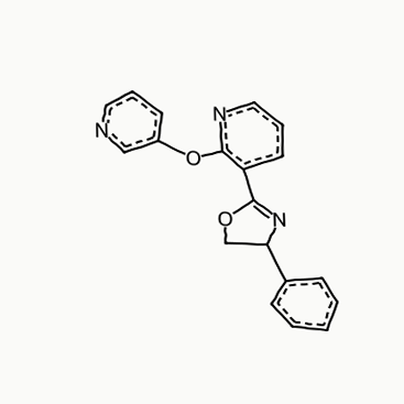 c1ccc(C2COC(c3cccnc3Oc3cccnc3)=N2)cc1